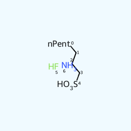 CCCCCCCCS(=O)(=O)O.F.N